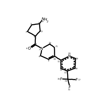 NC1CCC(C(=O)N2CC=C(c3cc(C(F)(F)F)ccn3)CC2)C1